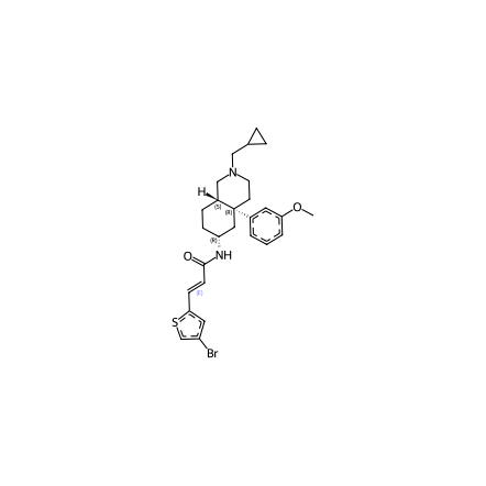 COc1cccc([C@@]23CCN(CC4CC4)C[C@H]2CC[C@@H](NC(=O)/C=C/c2cc(Br)cs2)C3)c1